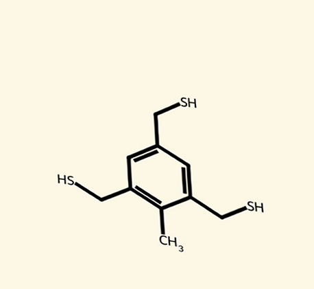 Cc1c(CS)cc(CS)cc1CS